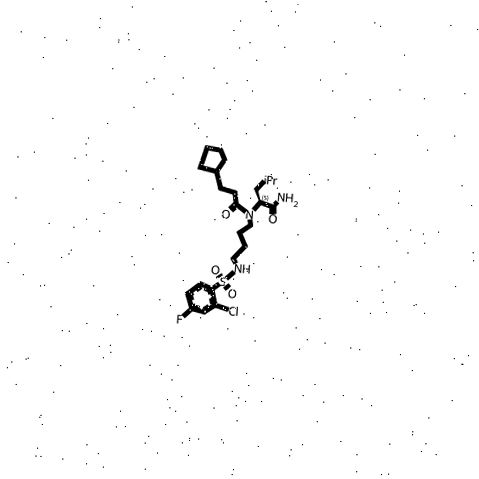 CC(C)C[C@@H](C(N)=O)N(CCCCNS(=O)(=O)c1ccc(F)cc1Cl)C(=O)CCC1CCCC1